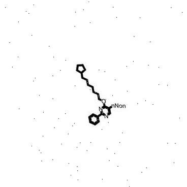 CCCCCCCCCc1cnc(-c2ccccc2)nc1OCCCCCCCC1CCCC1